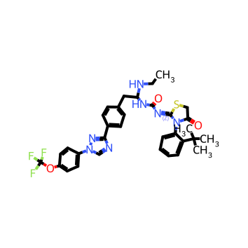 CCNC(Cc1ccc(-c2ncn(-c3ccc(OC(F)(F)F)cc3)n2)cc1)NC(=O)/N=C1\SCC(=O)N1c1ccccc1C(C)(C)C